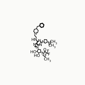 CCCN(C(=O)C(F)(F)F)[C@H]1C[C@@H](n2cnc3c(NCCN4CCC(Cc5ccccc5)CC4)nc(N4CC[C@@H](N(C)C)C4)nc32)[C@H](O)[C@@H]1O